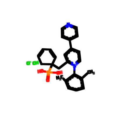 Cc1cccc(C)c1-[n+]1ccc(-c2ccncc2)cc1CC1(P(=O)(O)O)C=CC=CC1.Cl.[Cl-]